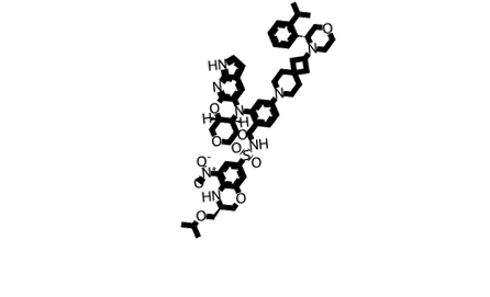 CC(C)OC[C@@H]1COc2cc(S(=O)(=O)NC(=O)c3ccc(N4CCC5(CC4)CC(N4CCOC[C@H]4c4ccccc4C(C)C)C5)cc3N3c4cc5cc[nH]c5nc4O[C@H]4COCC[C@@H]43)cc([N+](=O)[O-])c2N1